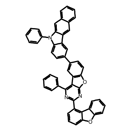 c1ccc(-c2nc(-c3cccc4oc5ccccc5c34)nc3oc4ccc(-c5ccc6c(c5)c5cc7ccccc7cc5n6-c5ccccc5)cc4c23)cc1